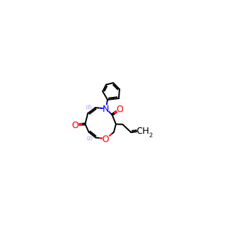 C=CCC1CO/C=C\C(=O)/C=C\N(c2ccccc2)C1=O